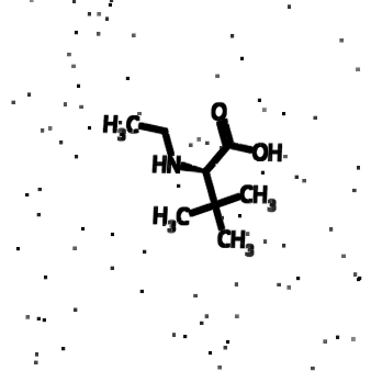 CCN[C@@H](C(=O)O)C(C)(C)C